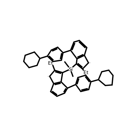 CCC1=C([Si](C)(C)C2=C(CC)[CH]c3cccc(-c4ccc(C5CCCCC5)cc4)c32)c2c(cccc2-c2ccc(C3CCCCC3)cc2)[CH]1